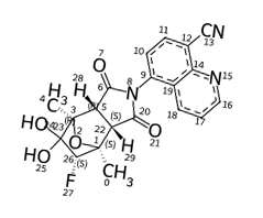 C[C@]12O[C@](C)([C@@H]3C(=O)N(c4ccc(C#N)c5ncccc45)C(=O)[C@@H]31)C(O)(O)[C@H]2F